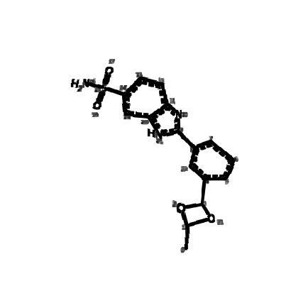 CC1OC(c2cccc(-c3nc4ccc(S(N)(=O)=O)cc4[nH]3)c2)O1